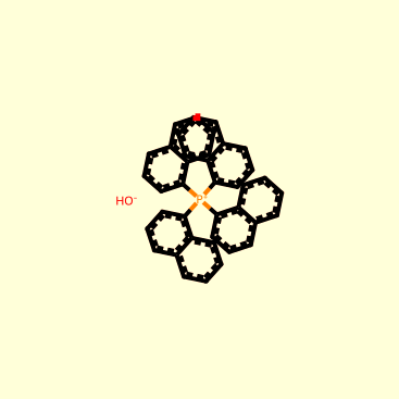 [OH-].c1ccc2c([P+](c3cccc4ccccc34)(c3cccc4ccccc34)c3cccc4ccccc34)cccc2c1